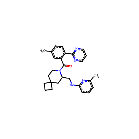 Cc1ccc(-c2ncccn2)c(C(=O)N2CCC3(CCC3)CC2CNc2cccc(C)n2)c1